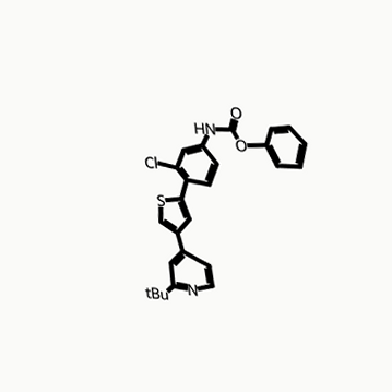 CC(C)(C)c1cc(-c2csc(-c3ccc(NC(=O)Oc4ccccc4)cc3Cl)c2)ccn1